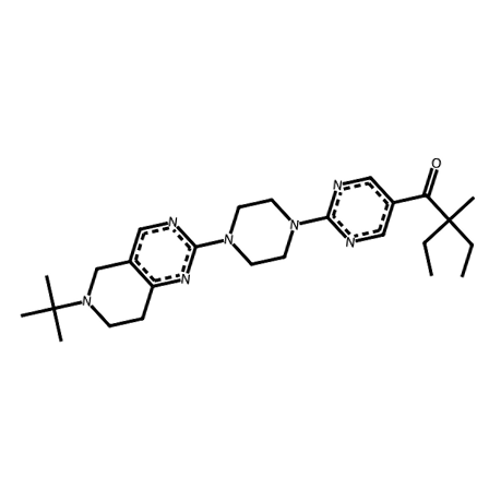 CCC(C)(CC)C(=O)c1cnc(N2CCN(c3ncc4c(n3)CCN(C(C)(C)C)C4)CC2)nc1